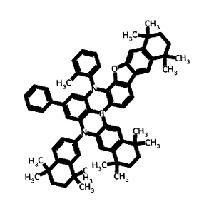 Cc1ccccc1N1c2cc(-c3ccccc3)cc3c2B(c2cc4c(cc2N3c2ccc3c(c2)C(C)(C)CCC3(C)C)C(C)(C)CCC4(C)C)c2ccc3c(oc4cc5c(cc43)C(C)(C)CCC5(C)C)c21